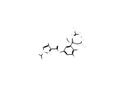 NC1=N[C@@](CF)(c2cc(NC(=O)c3nn(C(F)F)cc3Cl)cc(F)c2F)C[C@H](N)NO1